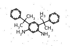 CC(C)(c1ccccc1)c1cc(C(C)(C)c2ccccc2)c(N)cc1N